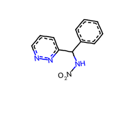 O=[N+]([O-])NC(c1ccccc1)c1cccnn1